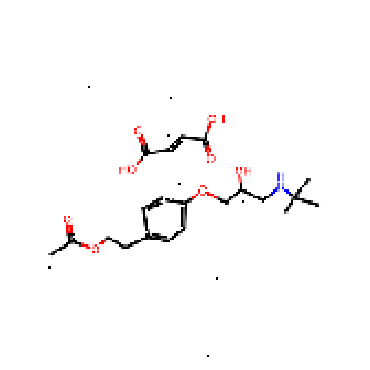 CC(=O)OCCc1ccc(OCC(O)CNC(C)(C)C)cc1.O=C(O)C=CC(=O)O